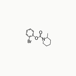 CC1CCCCN1C(=O)Oc1ccccc1Br